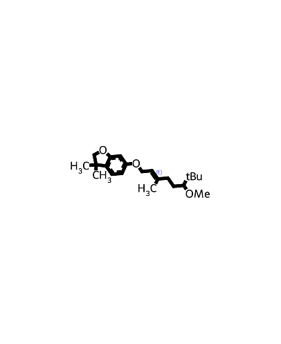 COC(CC/C(C)=C/COc1ccc2c(c1)OCC2(C)C)C(C)(C)C